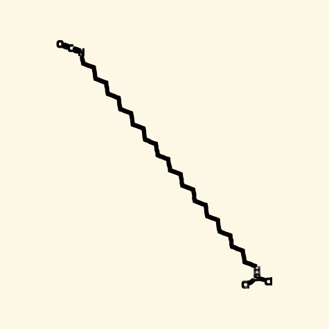 O=C=NCCCCCCCCCCCCCCCCCCCCCCCCCCCC[SiH](Cl)Cl